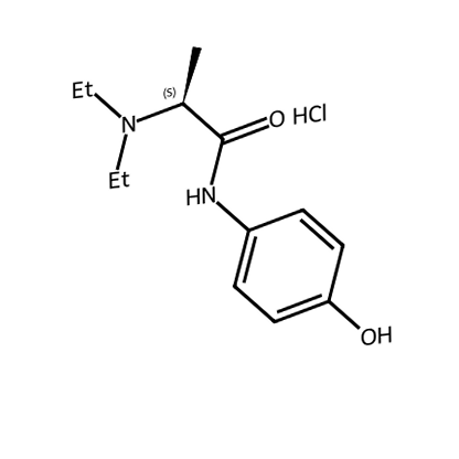 CCN(CC)[C@@H](C)C(=O)Nc1ccc(O)cc1.Cl